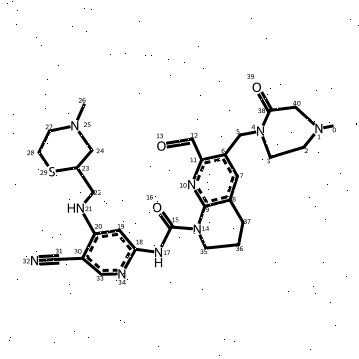 CN1CCN(Cc2cc3c(nc2C=O)N(C(=O)Nc2cc(NCC4CN(C)CCS4)c(C#N)cn2)CCC3)C(=O)C1